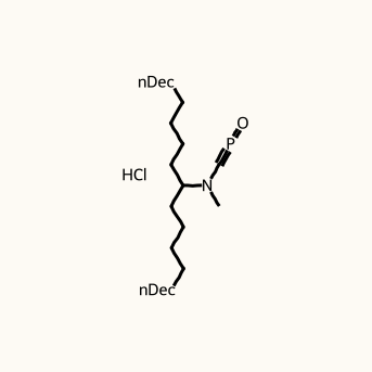 CCCCCCCCCCCCCCC(CCCCCCCCCCCCCC)N(C)C#P=O.Cl